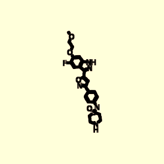 COCCOc1cc2[nH]nc(-c3cc(-c4ccc(N=S5(=O)CCNCC5)cc4)no3)c2cc1F